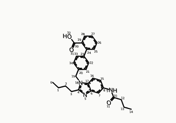 CCCCc1nc2cc(NC(=O)CCC)ccc2n1Cc1ccc(-c2ccccc2C(=O)O)cc1